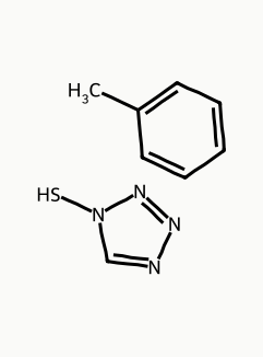 Cc1ccccc1.Sn1cnnn1